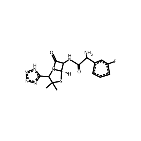 CC1(C)S[C@@H]2C(NC(=O)C(N)c3cccc(F)c3)C(=O)N2C1c1nnn[nH]1